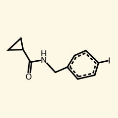 O=C(NCc1ccc(I)cc1)C1CC1